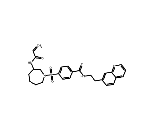 C=CC(=O)NC1CCCCN(S(=O)(=O)c2ccc(C(=O)NCCc3ccc4cccnc4c3)cc2)C1